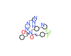 O=C([C@H](Cc1ccccc1)N(Cc1ccc(-c2ccccn2)cc1)C(=O)/C=C/c1ccc(C(F)(F)F)cc1)N1CCN(Cc2cnc[nH]2)CC1